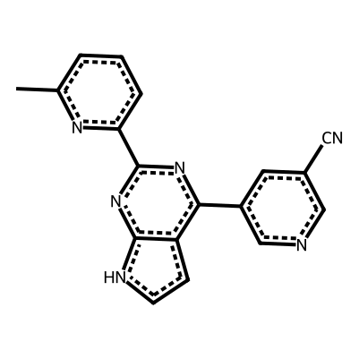 Cc1cccc(-c2nc(-c3cncc(C#N)c3)c3cc[nH]c3n2)n1